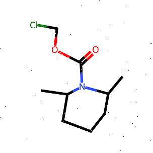 CC1CCCC(C)N1C(=O)OCCl